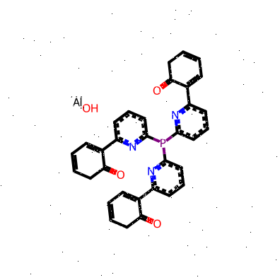 O=C1CC=CC=C1c1cccc(P(c2cccc(C3=CC=CCC3=O)n2)c2cccc(C3=CC=CCC3=O)n2)n1.[Al].[OH]